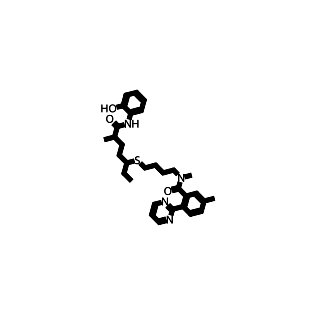 CCC(CCC(C)C(=O)Nc1ccccc1O)SCCCCN(C)C(=O)c1cc(C)ccc1-c1ncccn1